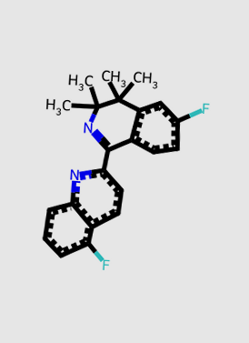 CC1(C)N=C(c2ccc3c(F)cccc3n2)c2ccc(F)cc2C1(C)C